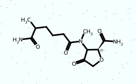 CC(CC[CH]C(=O)N(C)C1C(=O)CO[C@@H]1C(N)=O)C(N)=O